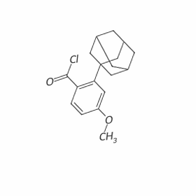 COc1ccc(C(=O)Cl)c(C23CC4CC(CC(C4)C2)C3)c1